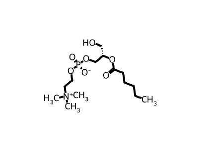 CCCCCC(=O)O[C@@H](CO)COP(=O)([O-])OCC[N+](C)(C)C